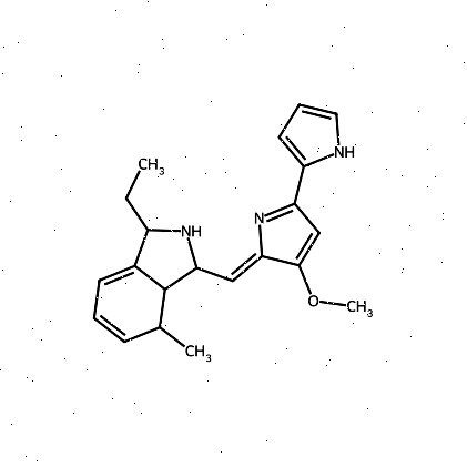 CCC1NC(C=C2N=C(c3ccc[nH]3)C=C2OC)C2C1=CC=CC2C